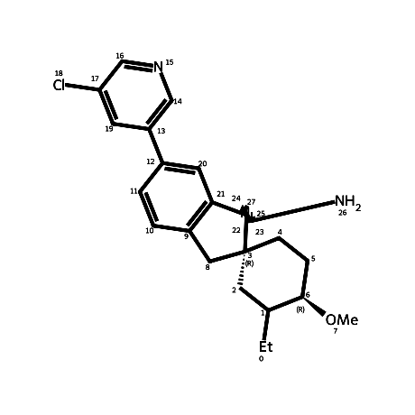 CCC1C[C@]2(CC[C@H]1OC)Cc1ccc(-c3cncc(Cl)c3)cc1C21N=CC(N)=N1